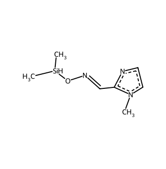 Cn1ccnc1C=NO[SiH](C)C